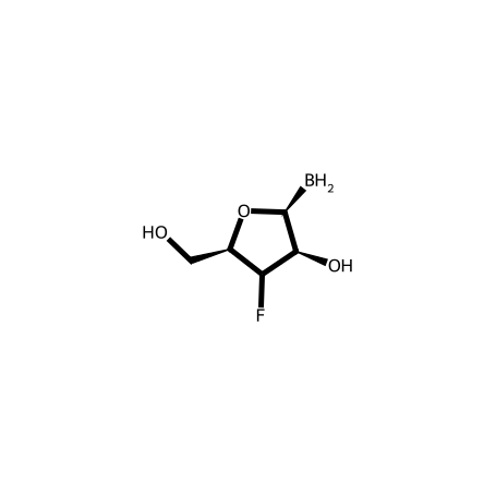 B[C@@H]1O[C@H](CO)C(F)[C@@H]1O